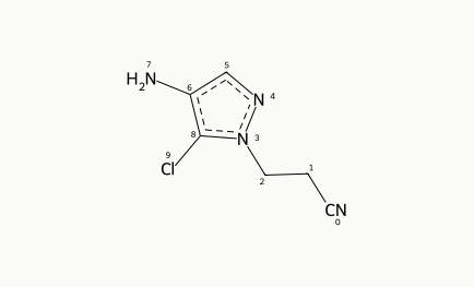 N#CCCn1ncc(N)c1Cl